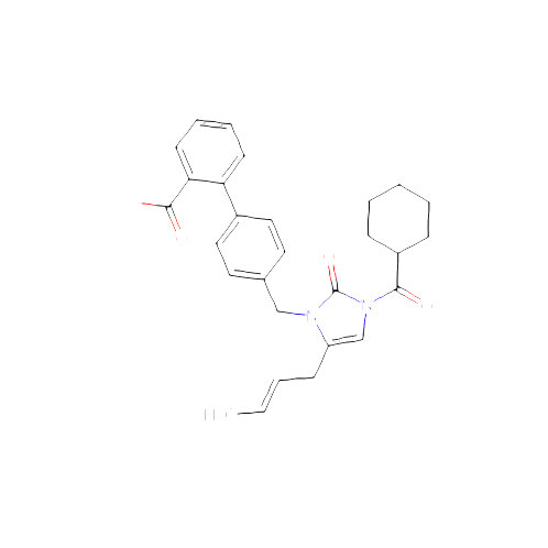 CC=CCc1cn(C(=O)C2CCCCC2)c(=O)n1Cc1ccc(-c2ccccc2C(=O)O)cc1